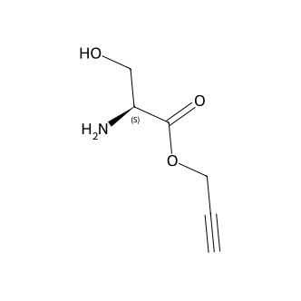 C#CCOC(=O)[C@@H](N)CO